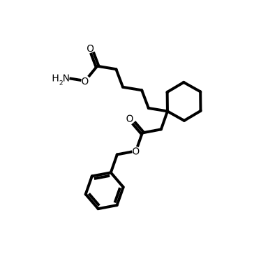 NOC(=O)CCCCC1(CC(=O)OCc2ccccc2)CCCCC1